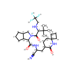 CC(C)(C)C(NCC(F)(F)F)C(=O)N1CC2CCCC2C1C(=O)NC(C#N)CC1CCC2(CCC2)NC1=O